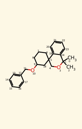 CC1(C)OCC2(CCCC(OCc3ccccc3)C2)c2ccccc21